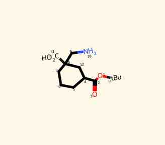 CC(C)(C)OC(=O)C1CCCC(CN)(C(=O)O)C1